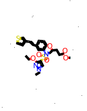 CCOc1nn(CC)cc1S(=O)(=O)N1CC(CCC(=O)OC)Oc2ccc(C=Cc3ccsc3)cc21